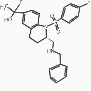 O=S(=O)(c1ccc(F)cc1)N1c2ccc(C(O)(F)C(F)(F)F)cc2CC[C@H]1CNCc1ccccc1